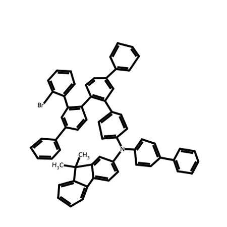 CC1(C)c2ccccc2-c2ccc(N(c3ccc(-c4ccccc4)cc3)c3ccc(-c4cc(-c5ccccc5)ccc4-c4ccc(-c5ccccc5)cc4-c4ccccc4Br)cc3)cc21